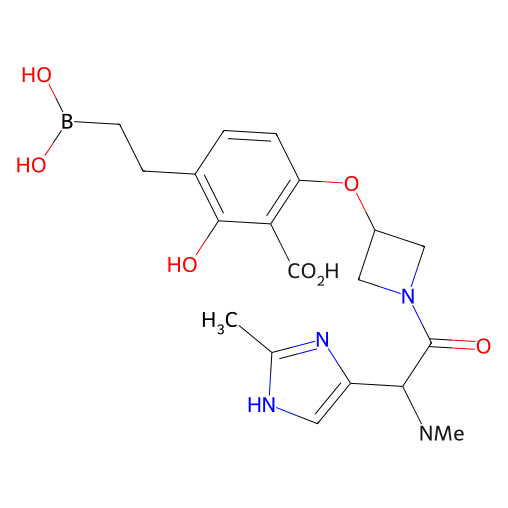 CNC(C(=O)N1CC(Oc2ccc(CCB(O)O)c(O)c2C(=O)O)C1)c1c[nH]c(C)n1